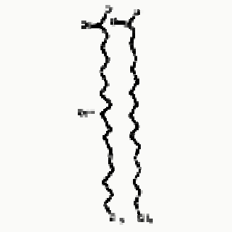 CCCCCCCCCCCCCCCCCC(=O)[O-].CCCCCCCCCCCCCCCCCC(=O)[O-].[Co+2]